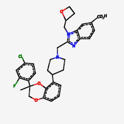 CC1(c2ccc(Cl)cc2F)COc2cccc(C3CCN(Cc4nc5ccc(C(=O)O)cc5n4CC4CCO4)CC3)c2O1